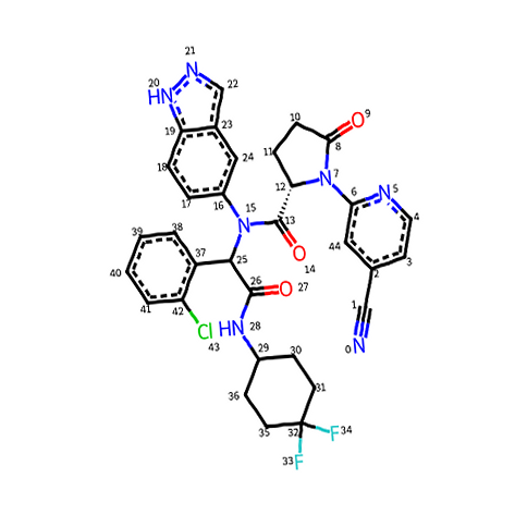 N#Cc1ccnc(N2C(=O)CC[C@H]2C(=O)N(c2ccc3[nH]ncc3c2)C(C(=O)NC2CCC(F)(F)CC2)c2ccccc2Cl)c1